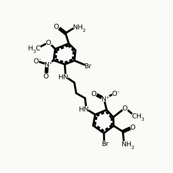 COc1c(C(N)=O)c(Br)cc(NCCCNc2c(Br)cc(C(N)=O)c(OC)c2[N+](=O)[O-])c1[N+](=O)[O-]